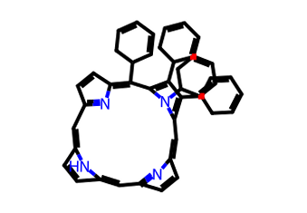 C1=CCC(c2c(C3C=CC=CC3)c3c(C4C=CC=CC4)c4nc(cc5ccc(cc6nc(cc2n3C2C=CC=CC2)C=C6)[nH]5)C=C4)C=C1